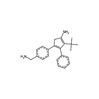 CC(C)(C)C1=C([SiH3])CC(c2ccc(CN)cc2)=C1c1ccccc1